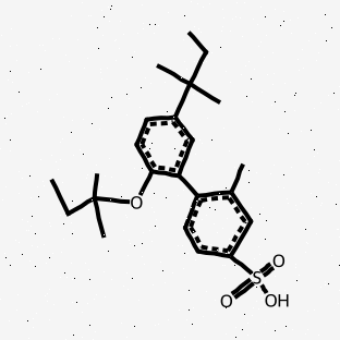 CCC(C)(C)Oc1ccc(C(C)(C)CC)cc1-c1ccc(S(=O)(=O)O)cc1C